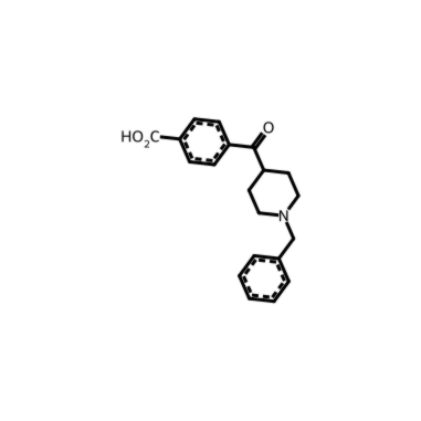 O=C(O)c1ccc(C(=O)C2CCN(Cc3ccccc3)CC2)cc1